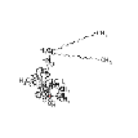 CCCCCCCCCCCCCCCCCC[N+](C)(CCCCCCCCCCCCCCCCCC)CCNC(=O)CCC(=O)O[C@@H](C(=O)O[C@H]1C[C@@]2(O)[C@@H](OC(=O)c3ccccc3)[C@@H]3[C@]4(OC(C)=O)CO[C@@H]4C[C@H](C)[C@@]3(C)C(=O)[C@H](C)C(=C1C)C2(C)C)[C@@H](NC(=O)OC(C)(C)C)c1ccccc1